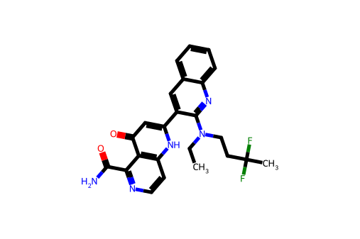 CCN(CCC(C)(F)F)c1nc2ccccc2cc1-c1cc(=O)c2c(C(N)=O)nccc2[nH]1